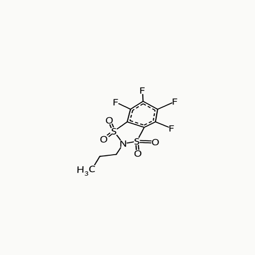 CCCN1S(=O)(=O)c2c(F)c(F)c(F)c(F)c2S1(=O)=O